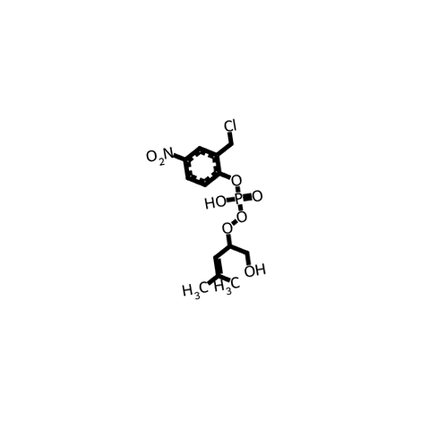 CC(C)=CC(CO)OOP(=O)(O)Oc1ccc([N+](=O)[O-])cc1CCl